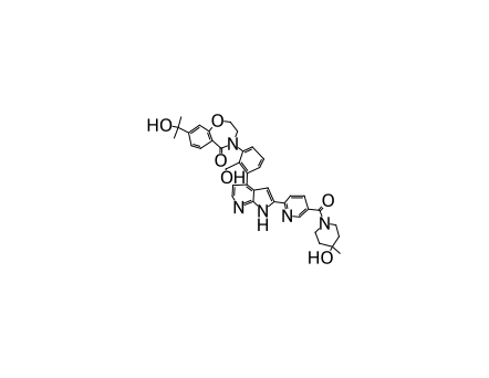 CC1(O)CCN(C(=O)c2ccc(-c3cc4c(-c5cccc(N6CCOc7cc(C(C)(C)O)ccc7C6=O)c5CO)ccnc4[nH]3)nc2)CC1